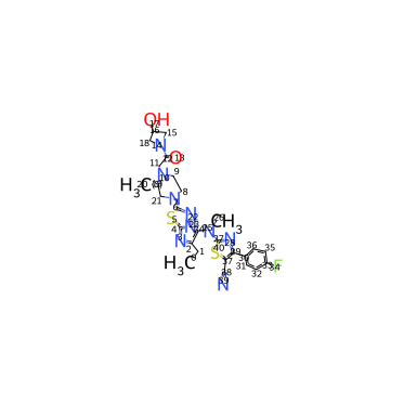 CCc1nc2sc(N3CCN(CC(=O)N4CC(O)C4)[C@@H](C)C3)nn2c1N(C)c1nc(-c2ccc(F)cc2)c(C#N)s1